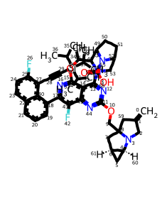 C=C1CN2[C@H]3C[C@H]3CC2(COc2nc3c4c(nc(-c5cccc6ccc(F)c(C#C[Si](C(C)C)(C(C)C)C(C)C)c56)c(F)c4n2)OC(C)C2C4CCC(CN32)N4C(=O)O)C1